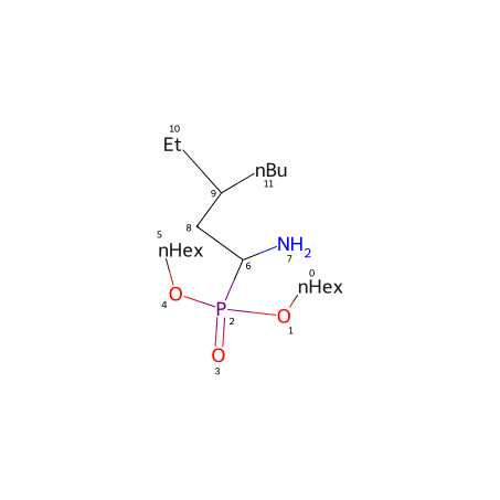 CCCCCCOP(=O)(OCCCCCC)C(N)CC(CC)CCCC